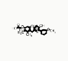 C=C(C)/C(C)=C(Cc1ccc(O)c(C2CCCC(OC)C2)n1)\C(C)=C/COCC(=O)O